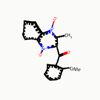 COc1ccccc1C(=O)c1c(C)[n+]([O-])c2ccccc2[n+]1[O-]